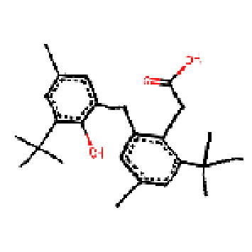 Cc1cc(Cc2cc(C)cc(C(C)(C)C)c2CC(=O)O)c(O)c(C(C)(C)C)c1